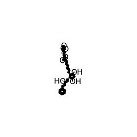 CS(=O)(=O)SCCOC(=O)CCC/C=C/C[C@@H]1[C@@H](CC[C@@H](O)CCc2ccccc2)[C@H](O)C[C@@H]1O